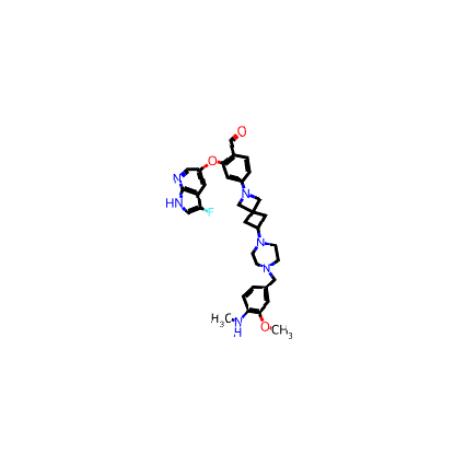 CNc1ccc(CN2CCN(C3CC4(C3)CN(c3ccc(C=O)c(Oc5cnc6[nH]cc(F)c6c5)c3)C4)CC2)cc1OC